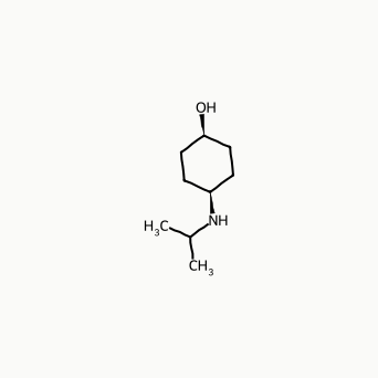 CC(C)N[C@H]1CC[C@@H](O)CC1